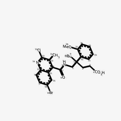 CCCCC(CCC(=O)O)(CNC(=O)c1c(C)c(Cl)nc2ccc(Br)cc12)c1ccccc1OC